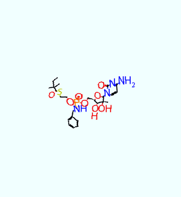 CCC(C)(C)C(=O)SCCOP(=O)(NCc1ccccc1)OC[C@H]1OC(n2ccc(N)nc2=O)[C@](C)(O)[C@@H]1O